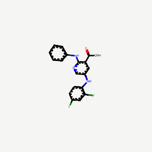 COC(=O)c1cc(Nc2ccc(F)cc2F)cnc1Nc1ccccc1